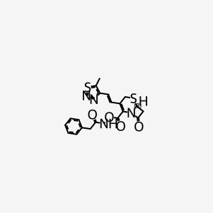 Cc1snnc1C=CC1=C(C(=O)ONC(=O)Cc2ccccc2)N2C(=O)C[C@@H]2SC1